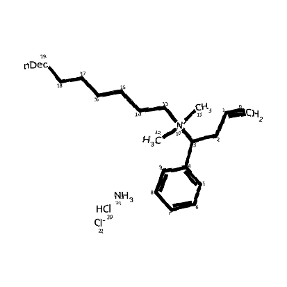 C=CCC(c1ccccc1)[N+](C)(C)CCCCCCCCCCCCCCCC.Cl.N.[Cl-]